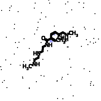 C=C(/C=C\C(=C/C)C(=O)NCCNCCNC)CNC